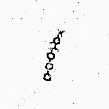 [3H]C([3H])([3H])Oc1ccc(C(=O)Nc2ccc(N3CCN(c4ccccn4)CC3)cc2)c(F)c1